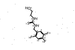 OCCNC(=S)NCc1cc(F)c(F)cc1F